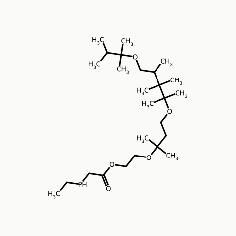 CCPCC(=O)OCCOC(C)(C)CCOC(C)(C)C(C)(C)C(C)COC(C)(C)C(C)C